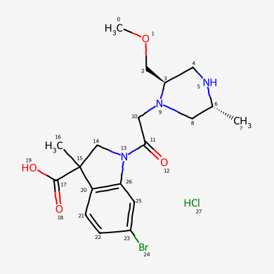 COC[C@H]1CN[C@H](C)CN1CC(=O)N1CC(C)(C(=O)O)c2ccc(Br)cc21.Cl